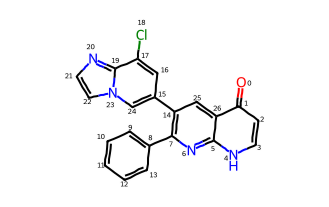 O=c1cc[nH]c2nc(-c3ccccc3)c(-c3cc(Cl)c4nccn4c3)cc12